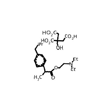 CCN(CC)CCOC(=O)C(C)c1ccc(CC(C)C)cc1.O=C(O)CC(O)(CC(=O)O)C(=O)O